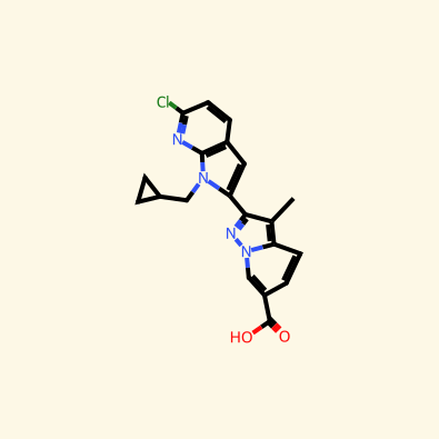 Cc1c(-c2cc3ccc(Cl)nc3n2CC2CC2)nn2cc(C(=O)O)ccc12